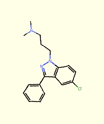 CN(C)CCCn1nc(-c2ccccc2)c2cc(Cl)ccc21